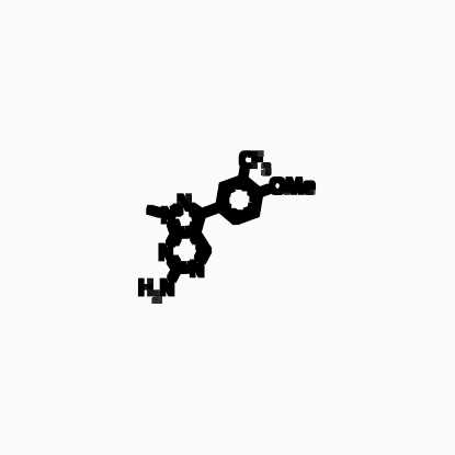 COc1ccc(-c2nn(C)c3nc(N)ncc23)cc1C(F)(F)F